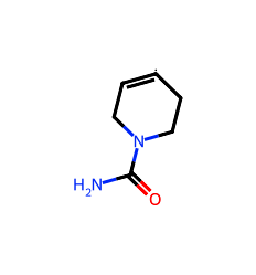 NC(=O)N1CC=[C]CC1